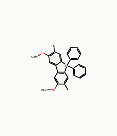 CCCCCCCCOc1cc2c(cc1C)[Si](c1ccccc1)(c1ccccc1)c1cc(C)c(OCCCCCCCC)cc1-2